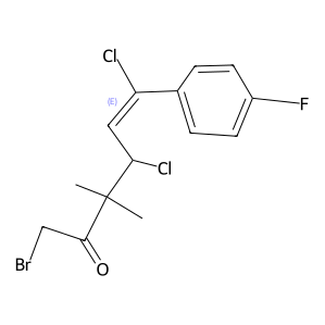 CC(C)(C(=O)CBr)C(Cl)/C=C(/Cl)c1ccc(F)cc1